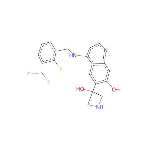 COc1cc2nccc(NCc3cccc(C(F)F)c3F)c2cc1C1(O)CNC1